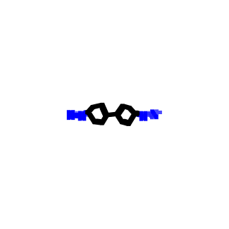 [N-]=[N+]=C1C=CC(C2=CCC(=[N+]=[N-])C=C2)=CC1